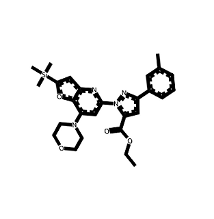 CCOC(=O)c1cc(-c2cccc(C)c2)nn1-c1cc(N2CCOCC2)c2oc([Si](C)(C)C)cc2n1